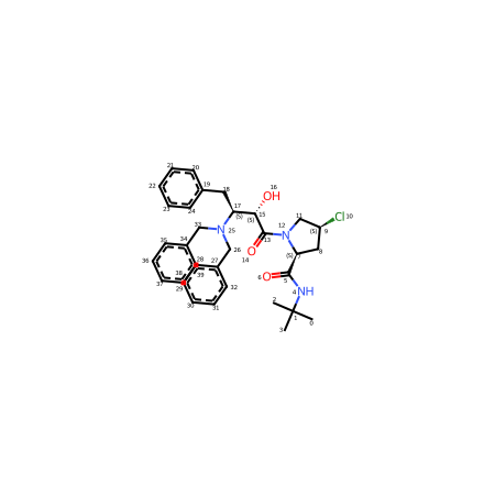 CC(C)(C)NC(=O)[C@@H]1C[C@H](Cl)CN1C(=O)[C@@H](O)[C@H](Cc1ccccc1)N(Cc1ccccc1)Cc1ccccc1